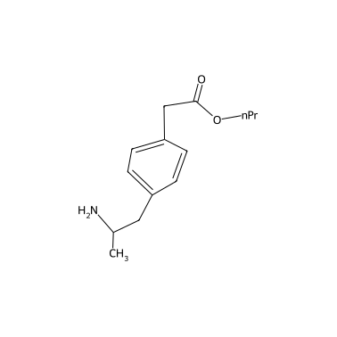 CCCOC(=O)Cc1ccc(CC(C)N)cc1